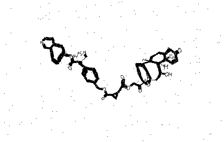 C[C@]12C=CC(=O)C=C1CC[C@@H]1[C@@H]2[C@@H](O)C[C@]23O[C@]2(C(=O)COC(=O)C2CC2C(=O)OCc2ccc([C@@H](CN)C(=O)Nc4ccc5cnccc5c4)cc2)CC[C@@H]13